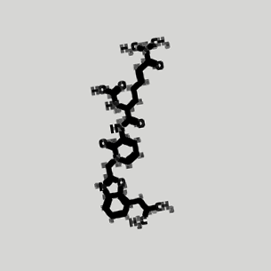 CC(C)Cc1cccc2nc(Cn3cccc(NC(=O)C(CCC=CC(=O)N(C)C)NC(=O)O)c3=O)oc12